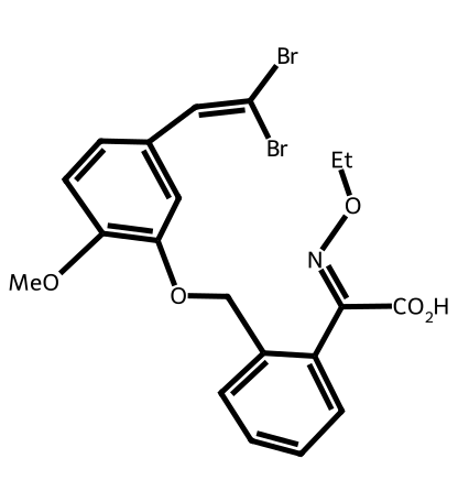 CCON=C(C(=O)O)c1ccccc1COc1cc(C=C(Br)Br)ccc1OC